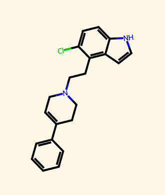 Clc1ccc2[nH]ccc2c1CCN1CC=C(c2ccccc2)CC1